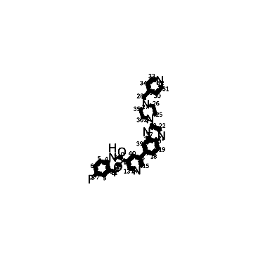 O=S(=O)(Nc1ccc(F)cc1F)c1cncc(-c2ccc3ncc(N4CCN(Cc5ccncc5)CC4)nc3c2)c1